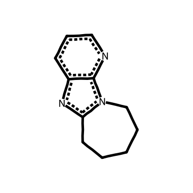 c1cnc2c(c1)nc1n2CCCCC1